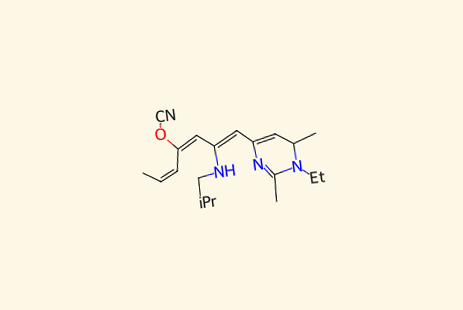 C\C=C/C(=C\C(=C\C1=CC(C)N(CC)C(C)=N1)NCC(C)C)OC#N